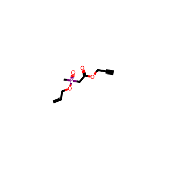 C#CCOC(=O)CP(C)(=O)OCC=C